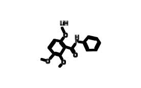 COc1ccc(OC)c(C(=O)Pc2ccccc2)c1OC.[LiH]